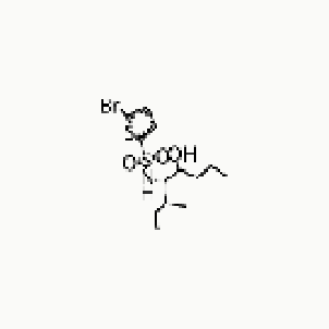 CCCC(O)[C@@H](NS(=O)(=O)c1ccc(Br)s1)[C@@H](C)CC